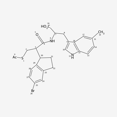 CC(=O)SCC(C(=O)NC(Cc1c[nH]c2ccc(C)cc12)C(=O)O)C1CCc2cc(Br)ccc21